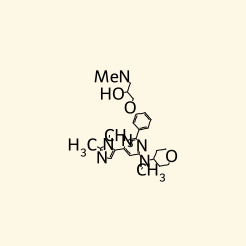 CNCC(O)COc1cccc(-c2nc(-c3cnc(C)n3C)cc(N(C)C3CCOCC3)n2)c1